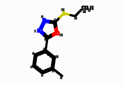 Cc1cccc(-c2nnc(SCC(=O)O)o2)c1